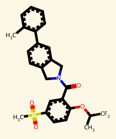 Cc1ccccc1-c1ccc2c(c1)CN(C(=O)c1cc(S(C)(=O)=O)ccc1OC(C)C(F)(F)F)C2